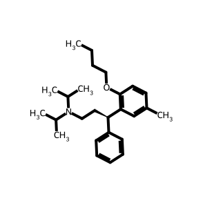 CCCCOc1ccc(C)cc1[C@H](CCN(C(C)C)C(C)C)c1ccccc1